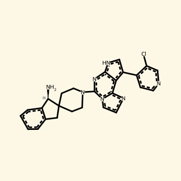 N[C@@H]1c2ccccc2CC12CCN(c1nc3[nH]cc(-c4ccncc4Cl)c3c3nccn13)CC2